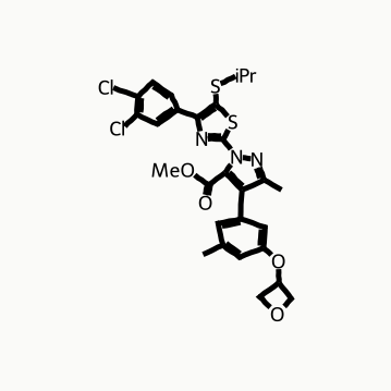 COC(=O)c1c(-c2cc(C)cc(OC3COC3)c2)c(C)nn1-c1nc(-c2ccc(Cl)c(Cl)c2)c(SC(C)C)s1